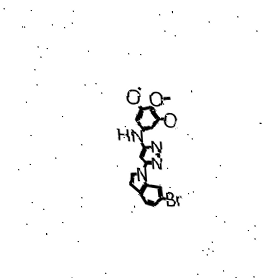 COc1cc(Nc2cc(-n3ccc4ccc(Br)cc43)ncn2)cc(OC)c1OC